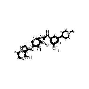 CN1CCC(c2cc(Nc3nc4ncc(Oc5cnn6ccnc(Cl)c56)c(Cl)c4n3C)cc(C(F)(F)F)c2)CC1